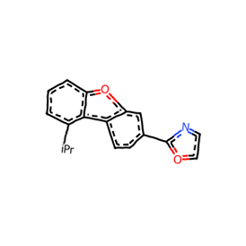 CC(C)c1cccc2oc3cc(-c4ncco4)ccc3c12